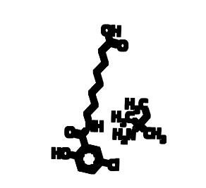 CCC(C)(C)N.O=C(O)CCCCCCCNC(=O)c1cc(Cl)ccc1O